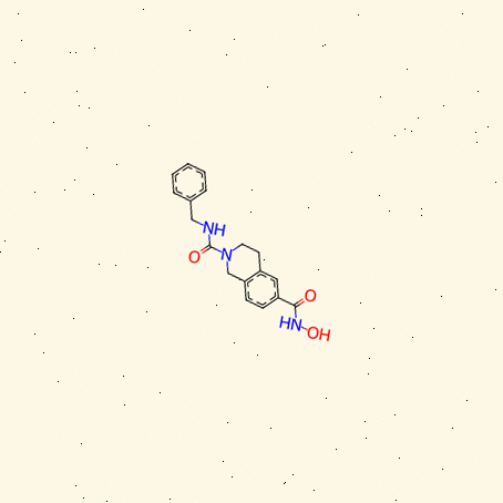 O=C(NO)c1ccc2c(c1)CCN(C(=O)NCc1ccccc1)C2